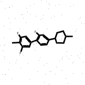 Cc1c(F)cc(-c2ccc(C3CCC(C)CC3)cc2F)cc1F